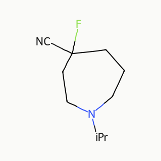 CC(C)N1CCCC(F)(C#N)CC1